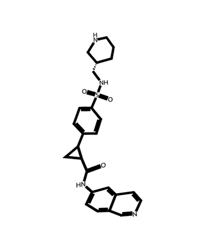 O=C(Nc1ccc2cnccc2c1)C1CC1c1ccc(S(=O)(=O)NC[C@H]2CCCNC2)cc1